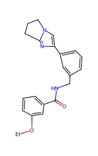 CCOc1cccc(C(=O)NCc2cccc(-c3cn4c(n3)CCC4)c2)c1